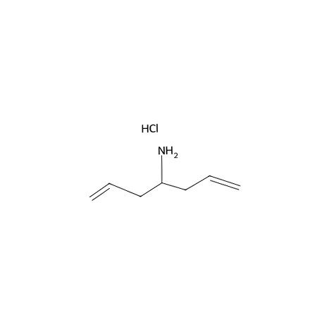 C=CCC(N)CC=C.Cl